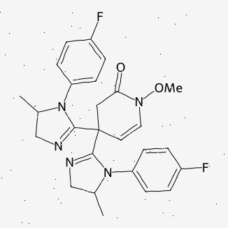 CON1C=CC(C2=NCC(C)N2c2ccc(F)cc2)(C2=NCC(C)N2c2ccc(F)cc2)CC1=O